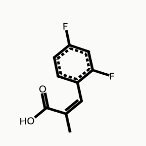 CC(=Cc1ccc(F)cc1F)C(=O)O